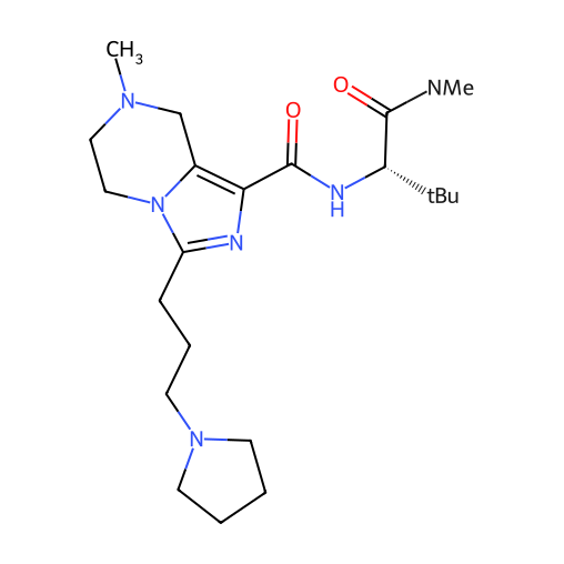 CNC(=O)[C@@H](NC(=O)c1nc(CCCN2CCCC2)n2c1CN(C)CC2)C(C)(C)C